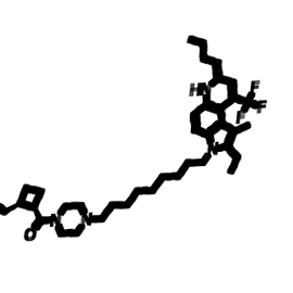 CCC/C=C1/C=C(C(F)(F)F)c2c(ccc3c2c(C)c(CC)n3CCCCCCCCCN2CCN(C(=O)[C@@H]3CC[C@@H]3CC)CC2)N1